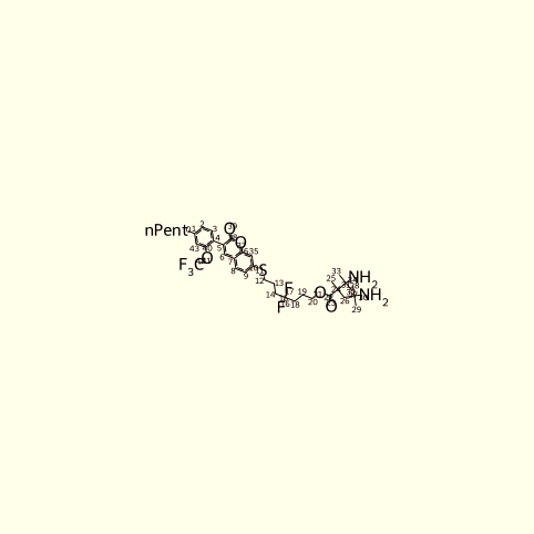 CCCCCc1ccc(-c2cc3ccc(SCCCC(F)(F)CCCOC(=O)C(C)(CC(C)(C)N)C(C)(C)N)cc3oc2=O)c(OC(F)(F)F)c1